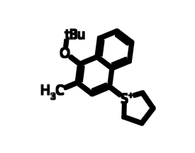 Cc1cc([S+]2CCCC2)c2ccccc2c1OC(C)(C)C